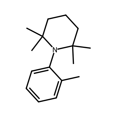 Cc1ccccc1N1C(C)(C)CCCC1(C)C